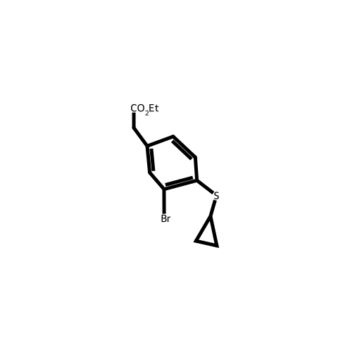 CCOC(=O)Cc1ccc(SC2CC2)c(Br)c1